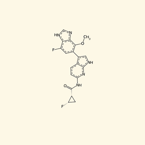 COc1c(-c2c[nH]c3nc(NC(=O)[C@@H]4C[C@@H]4F)ccc23)cc(F)c2[nH]cnc12